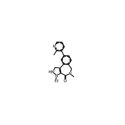 CCN1NCC2=C1C(=O)N(C)Cc1ccc(-c3cccnc3C)cc12